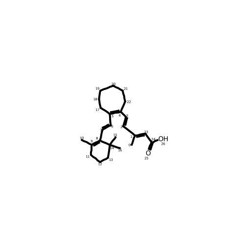 CC(C=C/C1=C(\C=CC2=C(C)CCCC2(C)C)CCCCCC1)=CC(=O)O